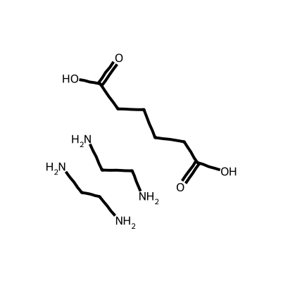 NCCN.NCCN.O=C(O)CCCCC(=O)O